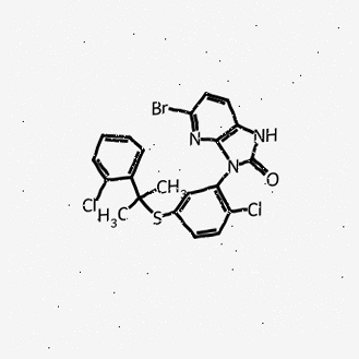 CC(C)(Sc1ccc(Cl)c(-n2c(=O)[nH]c3ccc(Br)nc32)c1)c1ccccc1Cl